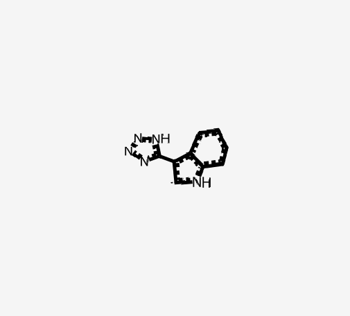 [c]1[nH]c2ccccc2c1-c1nnn[nH]1